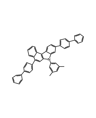 Cc1cc(C)cc(-n2c3cc(-c4ccc(-c5ccccc5)cc4)ccc3c3c4ccccc4c(-c4ccc(-c5ccccc5)cc4)cc32)c1